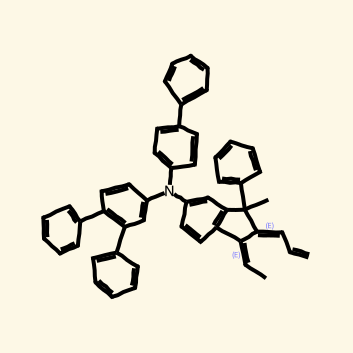 C=C/C=C1\C(=C/C)c2ccc(N(c3ccc(-c4ccccc4)cc3)c3ccc(-c4ccccc4)c(-c4ccccc4)c3)cc2C1(C)c1ccccc1